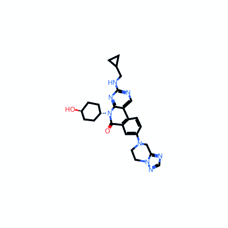 O=c1c2cc(N3CCn4ncnc4C3)ccc2c2cnc(NCC3CC3)nc2n1[C@H]1CC[C@H](O)CC1